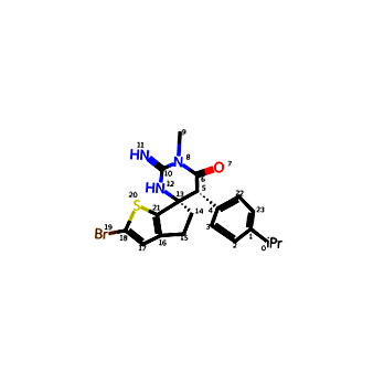 CC(C)c1ccc([C@H]2C(=O)N(C)C(=N)N[C@@]23CCc2cc(Br)sc23)cc1